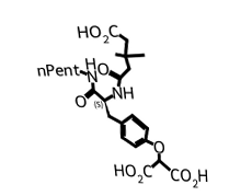 CCCCCNC(=O)[C@H](Cc1ccc(OC(C(=O)O)C(=O)O)cc1)NC(=O)CC(C)(C)CC(=O)O